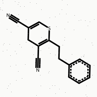 N#CC1=CSC(CCc2ccccc2)=C(C#N)C1